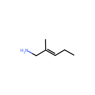 CC/C=C(\C)CN